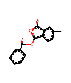 Cc1ccc2c(OC(=O)c3ccccc3)oc(Br)c2c1